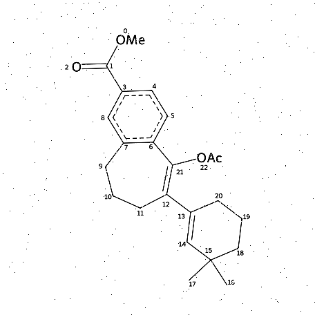 COC(=O)c1ccc2c(c1)CCCC(C1=CC(C)(C)CCC1)=C2OC(C)=O